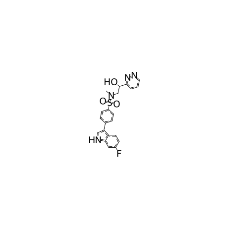 CN(CC(O)c1cccnn1)S(=O)(=O)c1ccc(-c2c[nH]c3cc(F)ccc23)cc1